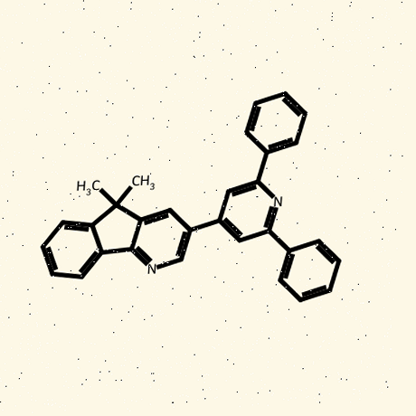 CC1(C)c2ccccc2-c2ncc(-c3cc(-c4ccccc4)nc(-c4ccccc4)c3)cc21